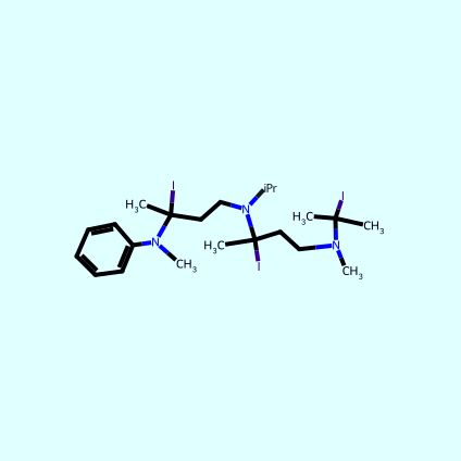 CC(C)N(CCC(C)(I)N(C)c1ccccc1)C(C)(I)CCN(C)C(C)(C)I